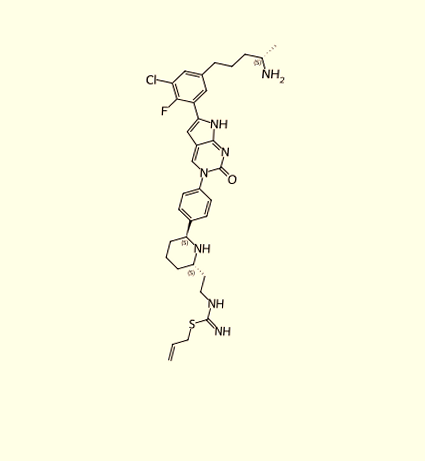 C=CCSC(=N)NCC[C@@H]1CCC[C@@H](c2ccc(-n3cc4cc(-c5cc(CCC[C@H](C)N)cc(Cl)c5F)[nH]c4nc3=O)cc2)N1